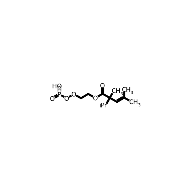 CC(C)=CC(C)(C(=O)OCCOO[PH](=O)O)C(C)C